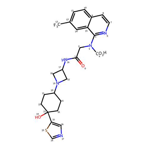 O=C(CN(C(=O)O)c1nccc2ccc(C(F)(F)F)cc12)NC1CN(C2CCC(O)(c3cncs3)CC2)C1